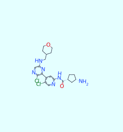 N[C@H]1CC[C@@H](C(=O)Nc2cc(-c3nc(NCC4CCOCC4)cnc3Cl)c(Cl)cn2)C1